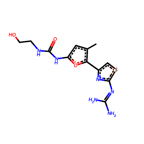 Cc1cc(NC(=O)NCCO)oc1-c1csc(N=C(N)N)n1